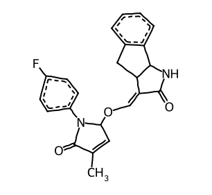 CC1=CC(O/C=C2/C(=O)NC3c4ccccc4CC23)N(c2ccc(F)cc2)C1=O